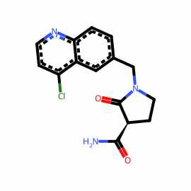 NC(=O)[C@@H]1CCN(Cc2ccc3nccc(Cl)c3c2)C1=O